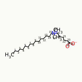 CCCCCCCCCCCCCCCC[N+](C)(C)CCCCCC(=O)[O-]